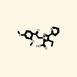 CCc1c(-c2ccccn2)nn(CC(=O)c2ccc(OC)cc2OC)c1C(=O)O